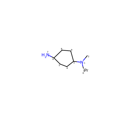 CC(C)N(C)C1CCC(N)CC1